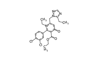 CCOC(=O)c1c(-c2ccc(Cl)c(Cl)c2)n(CC)c(Cn2ncnc2CC)cc1=O